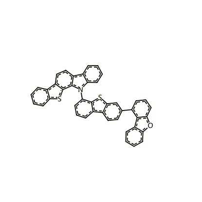 c1ccc2c(c1)oc1cccc(-c3ccc4c(c3)sc3c(-n5c6ccccc6c6ccc7c8ccccc8sc7c65)cccc34)c12